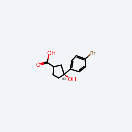 O=C(O)C1CC[C@@](O)(c2ccc(Br)cc2)C1